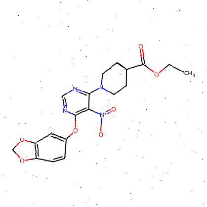 CCOC(=O)C1CCN(c2ncnc(Oc3ccc4c(c3)OCO4)c2[N+](=O)[O-])CC1